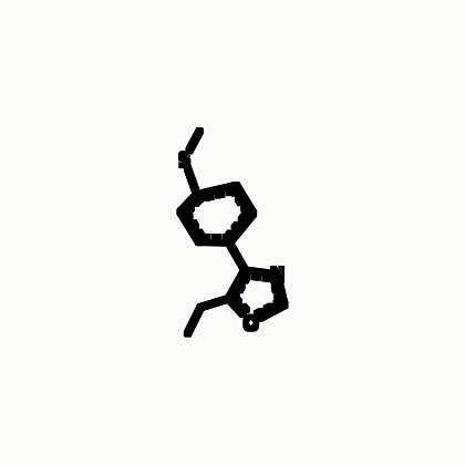 CCc1ocnc1-c1ccc(SC)cc1